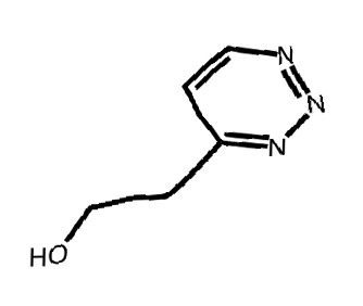 OCCc1ccnnn1